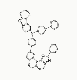 c1ccc(-c2ccc(N(c3ccc(-c4ccc5ccc6ccc7nc(-c8ccccc8)oc7c6c5c4)cc3)c3ccc4oc5ccccc5c4c3)cc2)cc1